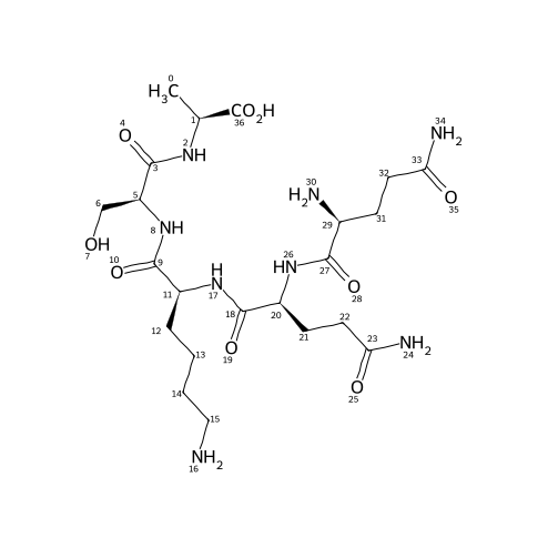 C[C@H](NC(=O)[C@H](CO)NC(=O)[C@H](CCCCN)NC(=O)[C@H](CCC(N)=O)NC(=O)[C@@H](N)CCC(N)=O)C(=O)O